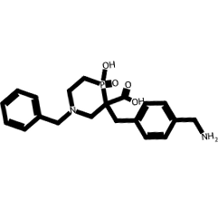 NCc1ccc(CC2(C(=O)O)CN(Cc3ccccc3)CCP2(=O)O)cc1